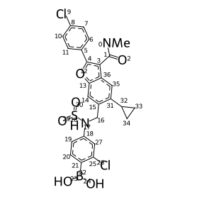 CNC(=O)c1c(-c2ccc(Cl)cc2)oc2cc(CN(c3ccc(B(O)O)c(Cl)c3)[SH](=O)=O)c(C3CC3)cc12